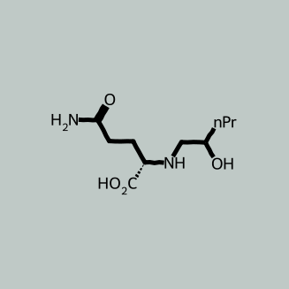 CCCC(O)CN[C@@H](CCC(N)=O)C(=O)O